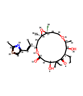 CC[C@H]1C(=O)C(C)(C)[C@@H](O)CC(=O)O[C@H](C(C)=Cc2csc(C)n2)C[C@H]2O[C@@]2(F)CCO[C@@H](C)[C@H]1O